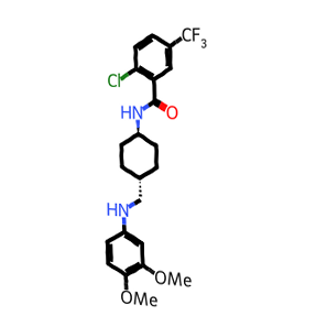 COc1ccc(NC[C@H]2CC[C@H](NC(=O)c3cc(C(F)(F)F)ccc3Cl)CC2)cc1OC